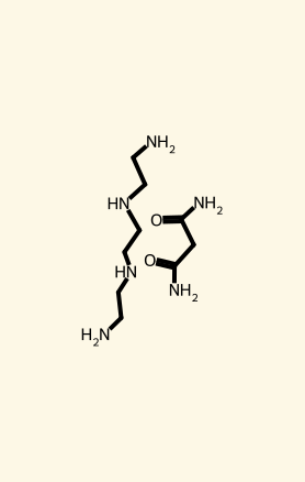 NC(=O)CC(N)=O.NCCNCCNCCN